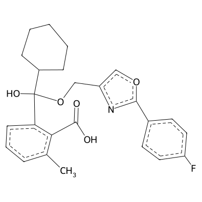 Cc1cccc(C(O)(OCc2coc(-c3ccc(F)cc3)n2)C2CCCCC2)c1C(=O)O